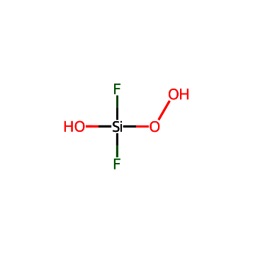 OO[Si](O)(F)F